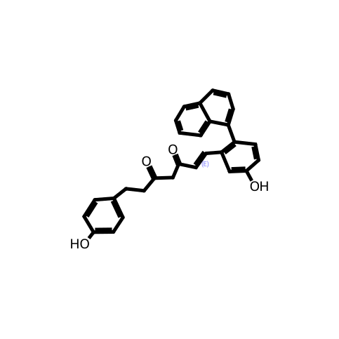 O=C(/C=C/c1cc(O)ccc1-c1cccc2ccccc12)CC(=O)CCc1ccc(O)cc1